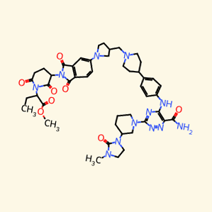 CCC(C(=O)OC)N1C(=O)CCC(N2C(=O)c3ccc(N4CCC(CN5CCC(c6ccc(Nc7nc(N8CCCC(N9CCN(C)C9=O)C8)nnc7C(N)=O)cc6)CC5)C4)cc3C2=O)C1=O